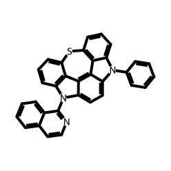 c1ccc(-n2c3cccc4sc5cccc6c5c5c(c43)c2ccc5n6-c2nccc3ccccc23)cc1